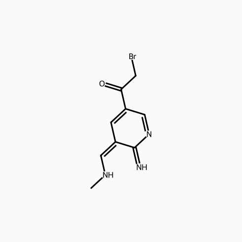 CN/C=C1/C=C(C(=O)CBr)C=NC1=N